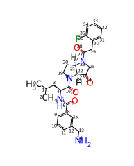 CC(C)C[C@H](NC(=O)c1cccc(CN)c1)C(=O)N1CC[C@@H]2[C@H]1C(=O)CN2C(=O)Cc1ccccc1F